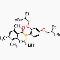 CCCCC(CC)COc1ccc(PC(=O)c2c(C)cc(C)c(C)c2C)c(OCC(CC)CCCC)c1.[LiH]